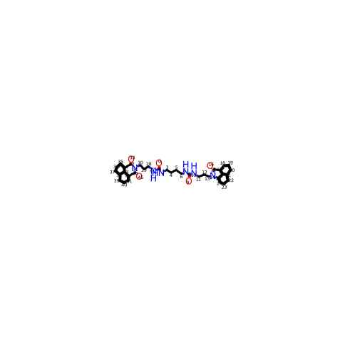 O=C(NCCCCNC(=O)NCCCN1C(=O)c2cccc3cccc1c23)NCCCN1C(=O)c2cccc3cccc(c23)C1=O